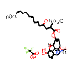 CCCCCCCC/C=C\CCCCCCCC(=O)CC(CC(=O)O)C(=O)OC1=CC[C@@]2(O)[C@H]3Cc4ccc(O)c5c4[C@@]2(CCN3C)[C@H]1O5.O=C(O)C(F)(F)F